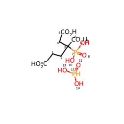 O=C(O)CCC(CC(=O)O)(C(=O)O)P(=O)(O)O.O=[PH](O)O